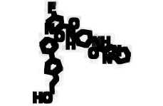 O=C(NC1CCC(NC(=O)c2cc(F)cnc2Oc2cccc(-c3ccc(CCCO)cc3)c2)CC1)c1cn2c(n1)CCCC2